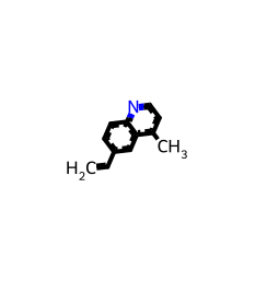 C=Cc1ccc2nccc(C)c2c1